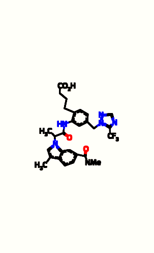 CNC(=O)c1ccc2c(C)cn(C(C)C(=O)Nc3cc(Cn4ncnc4C(F)(F)F)ccc3CCCC(=O)O)c2c1